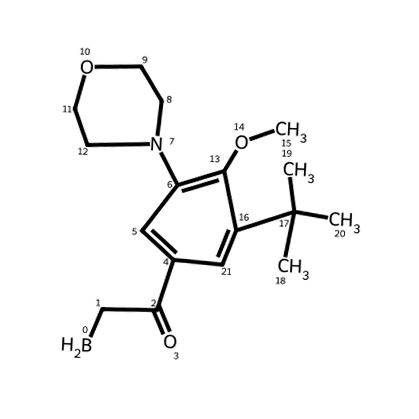 BCC(=O)c1cc(N2CCOCC2)c(OC)c(C(C)(C)C)c1